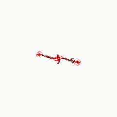 CCc1ccc2c(OCCCCCCCCCCCCCCCCC(=O)OC)c3ccccc3c(OCCCCCCCCCCCCCCCCC(=O)OC)c2c1